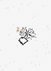 Br.Br.[CH3][Zr]([CH3])([CH3])([CH3])([CH3])([CH3])(=[SiH2])[C]1=CC=CC1